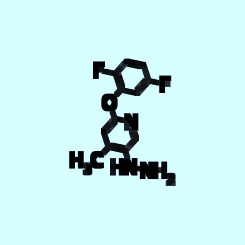 Cc1cc(Oc2cc(F)ccc2F)ncc1NN